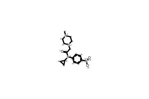 CN1CCN(CC(=O)N(c2ccc([N+](=O)[O-])cc2)C2CC2)CC1